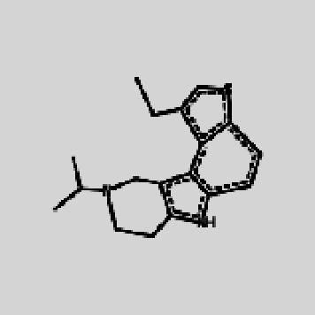 CCc1csc2ccc3[nH]c4c(c3c12)CN(C(C)C)CC4